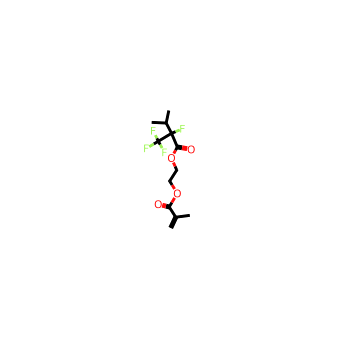 C=C(C)C(=O)OCCOC(=O)C(F)(C(C)C)C(F)(F)F